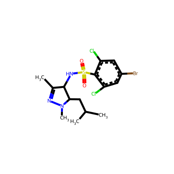 CC1=NN(C)C(CC(C)C)C1NS(=O)(=O)c1c(Cl)cc(Br)cc1Cl